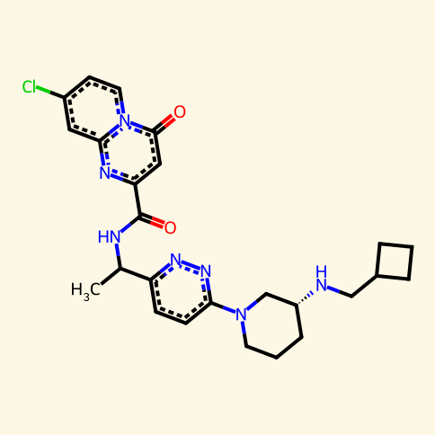 CC(NC(=O)c1cc(=O)n2ccc(Cl)cc2n1)c1ccc(N2CCC[C@@H](NCC3CCC3)C2)nn1